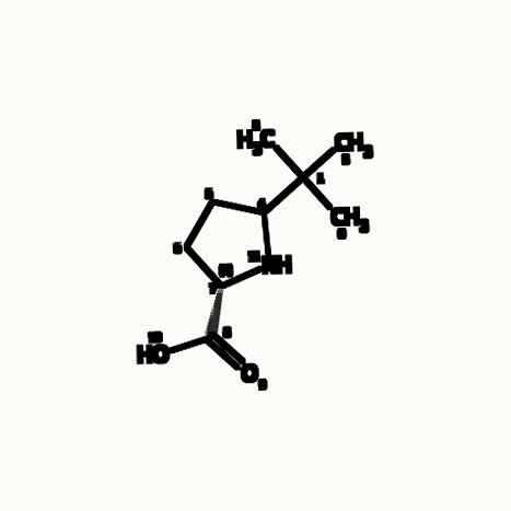 CC(C)(C)C1CC[C@@H](C(=O)O)N1